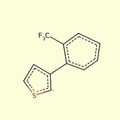 FC(F)(F)c1ccccc1-c1[c]scc1